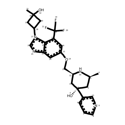 C[C@H]1C[C@@](O)(c2cccnc2)C[C@@H](COc2cc(C(F)(F)F)c3c(c2)ncn3C2CC(C)(O)C2)N1